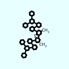 Cc1cc(-c2ccccc2-c2ccccc2-c2cc(-c3ccccc3)cc(-c3ccccc3)c2)c2sc3c(-c4ccccc4-c4ccccc4-c4cc(-c5ccccc5)cc(-c5ccccc5)c4)cc(C)cc3c2c1